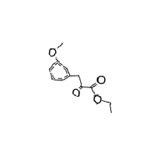 CCOC(=O)C(=O)Cc1cccc(OC)c1